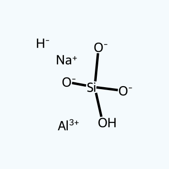 [Al+3].[H-].[Na+].[O-][Si]([O-])([O-])O